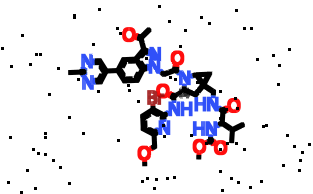 COCc1ccc(Br)c(NC(=O)[C@@H]2CC3(CNC(=O)C(NC(=O)OC)C(C)C)CC3N2C(=O)Cn2nc(C(C)=O)c3cc(-c4cnc(C)nc4)ccc32)n1